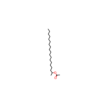 CCCCCCCCCCCCCCCCCC(C)OC(C)=O